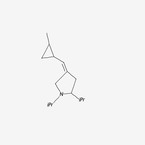 CC(C)C1C/C(=C/C2CC2C)CN1C(C)C